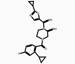 N=C1CN(C(=O)c2ccc(F)cc2C2CC2)CCN1C(=N)c1cnc(C2CC2)o1